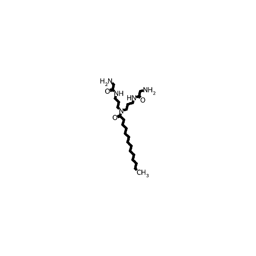 CCCCCCCCCCCCCC(=O)N(CCCNC(=O)CN)CCCNC(=O)CN